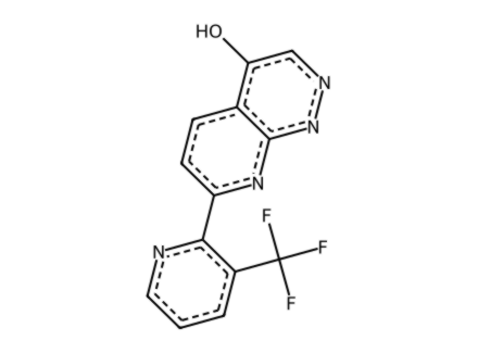 Oc1cnnc2nc(-c3ncccc3C(F)(F)F)ccc12